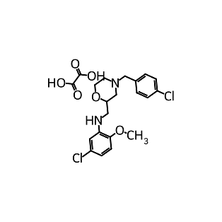 COc1ccc(Cl)cc1NCC1CN(Cc2ccc(Cl)cc2)CCO1.O=C(O)C(=O)O